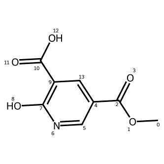 COC(=O)c1cnc(O)c(C(=O)O)c1